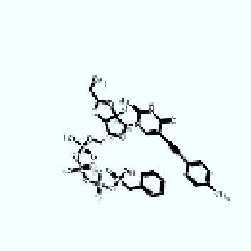 C=C1NC(=O)C(C#Cc2ccc(C)cc2)=CN1[C@@H]1O[C@H](COP(=O)(O)OP(=O)(O)OP(=O)(O)OP(=O)(O)Cc2ccccc2)C2OC(CC)O[C@@H]21